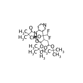 CC(C)(C)OC(=O)CC(C(=O)OC(C)(C)C)C(O)(c1cnccc1NC(=O)C(C)(C)C)C(F)F